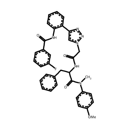 COc1ccc(N(C)C(=O)C(Cc2ccccc2)NC(=O)Cn2cc(-c3ccccc3NC(=O)c3cccc(F)c3)nn2)cc1